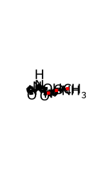 CNCCOc1ccc2c(c1)CN(C(=O)c1cc3c(CN4CCCCC4=O)n[nH]c3cc1O)C2